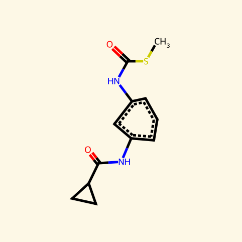 CSC(=O)Nc1cccc(NC(=O)C2CC2)c1